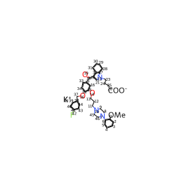 COc1ccccc1N1CCN(CCCOc2cc(C(=O)c3cn(CCCC(=O)[O-])c4ccccc34)ccc2OCc2ccc(F)cc2)CC1.[K+]